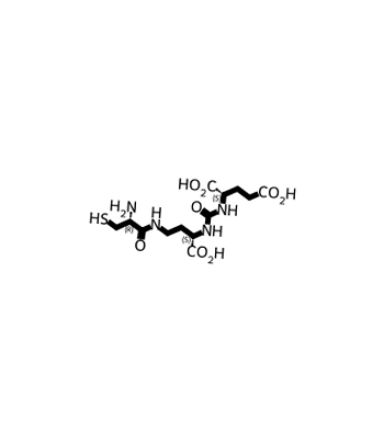 N[C@@H](CS)C(=O)NCC[C@H](NC(=O)N[C@@H](CCC(=O)O)C(=O)O)C(=O)O